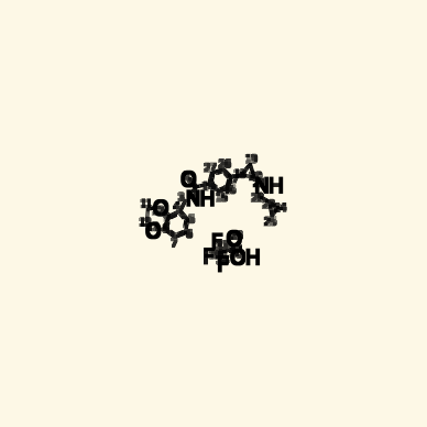 O=C(NCc1cccc2c1OCCO2)c1ccc(C2CC2NCC2CC2)cc1.O=C(O)C(F)(F)F